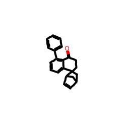 O=C1CCC2(CC3C=CC2C3)c2cccc(-c3ccccc3)c21